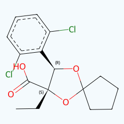 CC[C@]1(C(=O)O)OC2(CCCC2)O[C@@H]1c1c(Cl)cccc1Cl